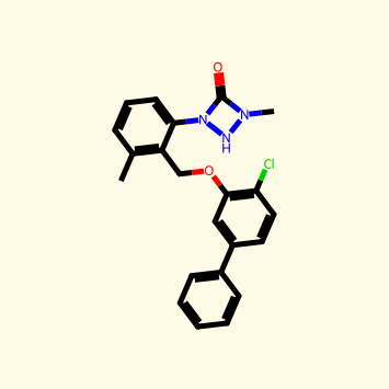 Cc1cccc(-n2[nH]n(C)c2=O)c1COc1cc(-c2ccccc2)ccc1Cl